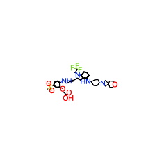 CS(=O)(=O)c1ccc(NCC#Cc2cc3c(N[C@H]4CC[C@@H](N5CC6(CCOCC6)C5)CC4)cccc3n2CC(F)(F)F)c(OCC(=O)O)c1